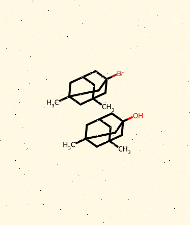 CC12CC3CC(C)(C1)CC(Br)(C3)C2.CC12CC3CC(C)(C1)CC(O)(C3)C2